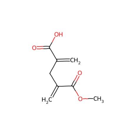 C=C(CC(=C)C(=O)OC)C(=O)O